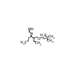 C=CN(COCC[Si](C)(C)C)/C(CCC)=N/C=N